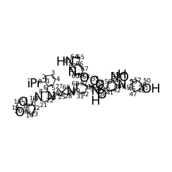 CC(C)c1ccccc1C1CN(Cc2cccc3c2OCCO3)CCN1C1CC2(C1)CN(c1ccc(C(=O)NS(=O)(=O)c3ccc(NC[C@H]4CC[C@](C)(O)CC4)c([N+](=O)[O-])c3)c(Oc3cnc4[nH]ccc4c3)c1)C2